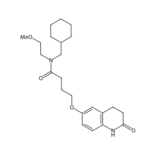 COCCN(CC1CCCCC1)C(=O)CCCOc1ccc2c(c1)CCC(=O)N2